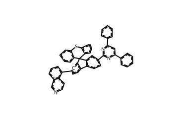 c1ccc(-c2cc(-c3ccccc3)nc(-c3ccc4c(c3)C3(c5ccccc5Sc5ccccc53)c3cc(-c5cccc6cnccc56)ccc3-4)n2)cc1